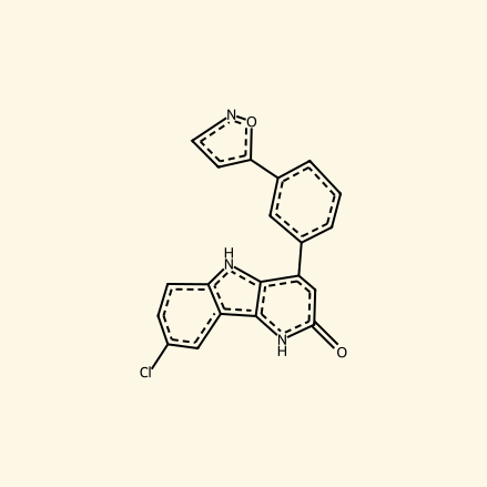 O=c1cc(-c2cccc(-c3ccno3)c2)c2[nH]c3ccc(Cl)cc3c2[nH]1